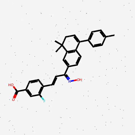 Cc1ccc(C2=CCC(C)(C)c3cc(C(/C=C/c4ccc(C(=O)O)cc4F)=N\O)ccc32)cc1